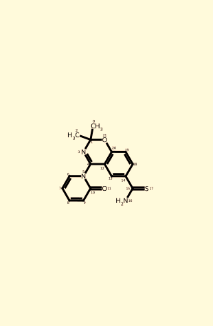 CC1(C)N=C(n2ccccc2=O)c2cc(C(N)=S)ccc2O1